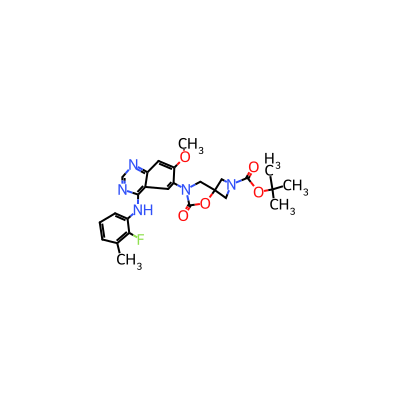 COc1cc2ncnc(Nc3cccc(C)c3F)c2cc1N1CC2(CN(C(=O)OC(C)(C)C)C2)OC1=O